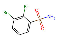 NS(=O)(=O)c1cccc(Br)c1Br